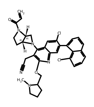 C=CC(=O)N1CC[C@@H]2[C@H]1CN2c1c(CC#N)c(OCC2CCCN2C)nc2cc(-c3cccc4cccc(Cl)c34)c(Cl)cc12